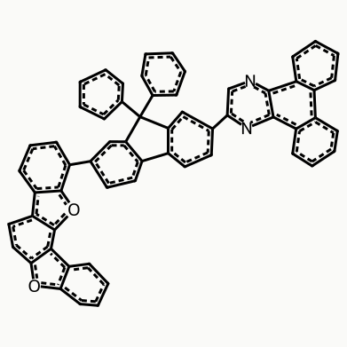 c1ccc(C2(c3ccccc3)c3cc(-c4cnc5c6ccccc6c6ccccc6c5n4)ccc3-c3ccc(-c4cccc5c4oc4c5ccc5oc6ccccc6c54)cc32)cc1